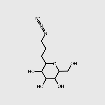 [N-]=[N+]=NCCCC1OC(CO)C(O)C(O)C1O